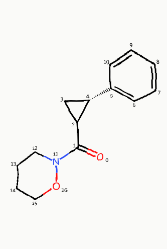 O=C(C1C[C@@H]1c1ccccc1)N1CCCCO1